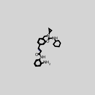 Nc1ccccc1NC(=O)/C=C/c1ccc(CN(C(=O)NC2CCCCC2)C2CC2)cc1